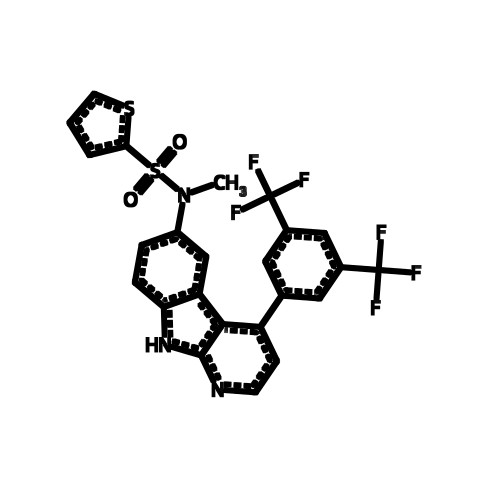 CN(c1ccc2[nH]c3nccc(-c4cc(C(F)(F)F)cc(C(F)(F)F)c4)c3c2c1)S(=O)(=O)c1cccs1